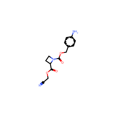 N#CCOC(=O)C1CCN1C(=O)OCc1ccc(N)cc1